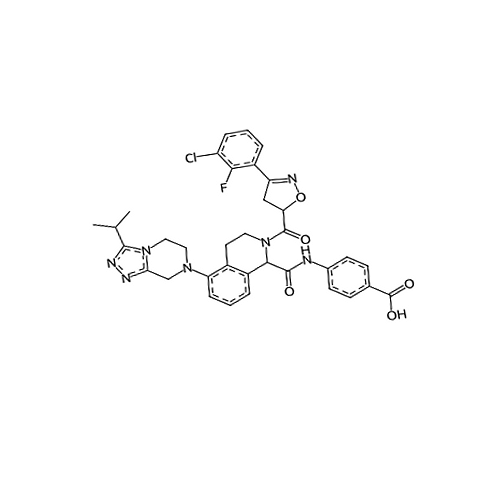 CC(C)c1nnc2n1CCN(c1cccc3c1CCN(C(=O)C1CC(c4cccc(Cl)c4F)=NO1)C3C(=O)Nc1ccc(C(=O)O)cc1)C2